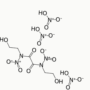 O=C(C(=O)N(CCO)[N+](=O)[O-])N(CCO)[N+](=O)[O-].O=[N+]([O-])O.O=[N+]([O-])O.O=[N+]([O-])O